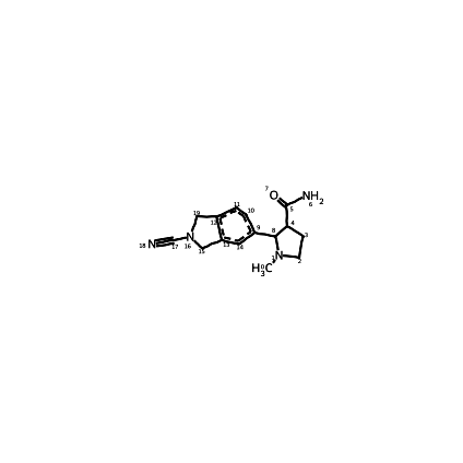 CN1CCC(C(N)=O)C1c1ccc2c(c1)CN(C#N)C2